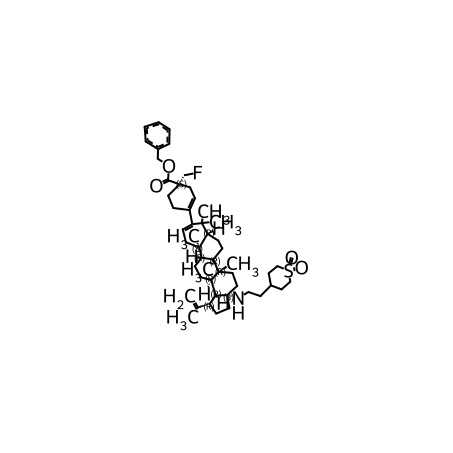 C=C(C)[C@@H]1CC[C@]2(NCCC3CCS(=O)(=O)CC3)CC[C@]3(C)[C@H](CC[C@@H]4[C@@]5(C)CC=C(C6=CC[C@](CF)(C(=O)OCc7ccccc7)CC6)C(C)(C)[C@@H]5CC[C@]43C)[C@@H]12